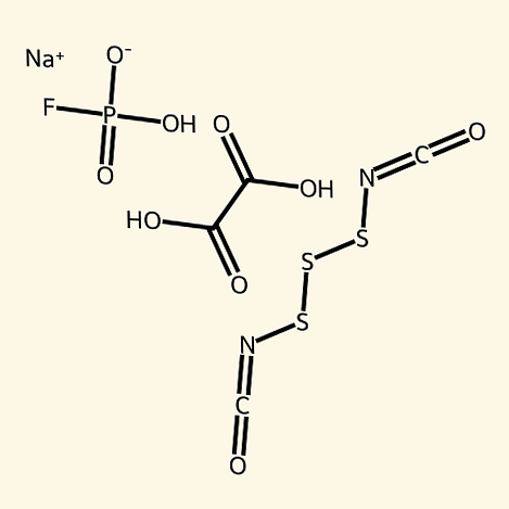 O=C(O)C(=O)O.O=C=NSSSN=C=O.O=P([O-])(O)F.[Na+]